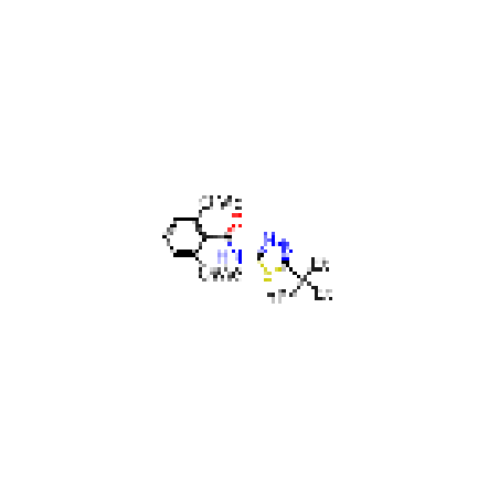 CCCC(CC)(CC)c1nnc(NC(=O)c2c(OC)cccc2OC)s1